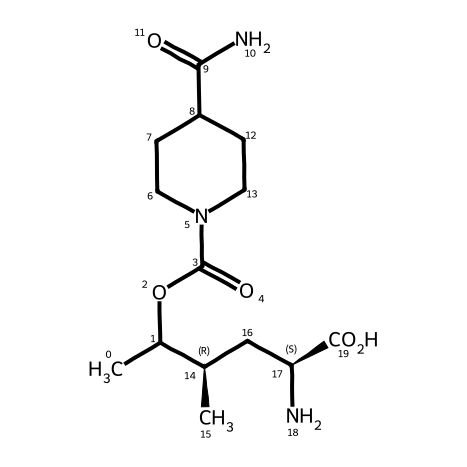 CC(OC(=O)N1CCC(C(N)=O)CC1)[C@H](C)C[C@H](N)C(=O)O